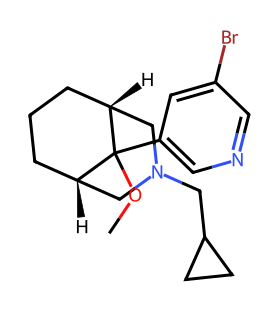 COC1(c2cncc(Br)c2)[C@@H]2CCC[C@H]1CN(CC1CC1)C2